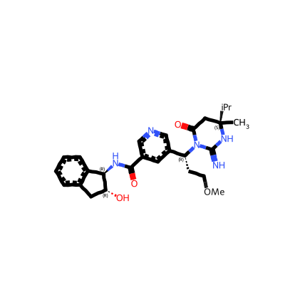 COCC[C@H](c1cncc(C(=O)N[C@@H]2c3ccccc3C[C@H]2O)c1)N1C(=N)N[C@](C)(C(C)C)CC1=O